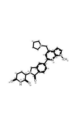 Cn1ccc2c(CN3CCCC3)cc(-c3ccc4c(c3)CN(C3CCC(=O)NC3=O)C4=O)nc21